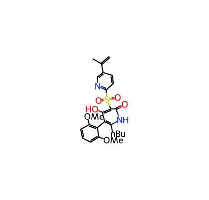 C=C(C)c1ccc(S(=O)(=O)c2c(O)c(-c3c(OC)cccc3OC)c(CCCC)[nH]c2=O)nc1